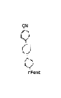 CCCCCC1CCC([C@H]2CC[C@H](c3ccc(C#N)cc3)CC2)CC1